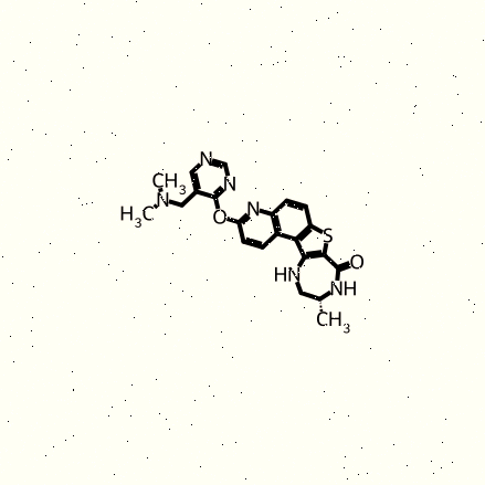 C[C@@H]1CNc2c(sc3ccc4nc(Oc5ncncc5CN(C)C)ccc4c23)C(=O)N1